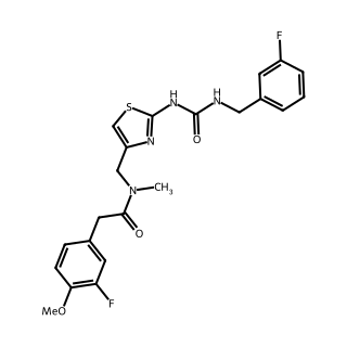 COc1ccc(CC(=O)N(C)Cc2csc(NC(=O)NCc3cccc(F)c3)n2)cc1F